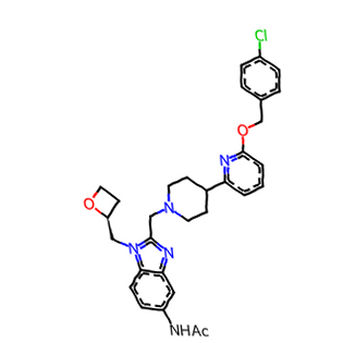 CC(=O)Nc1ccc2c(c1)nc(CN1CCC(c3cccc(OCc4ccc(Cl)cc4)n3)CC1)n2C[C@@H]1CCO1